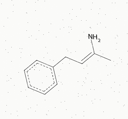 CC(N)=CCc1ccccc1